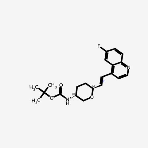 CC(C)(C)OC(=O)N[C@@H]1CC[C@@H](/C=C/c2ccnc3ccc(F)cc23)OC1